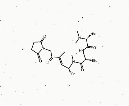 C/C(=C\[C@H](C(C)C)N(C)C(=O)[C@@H](NC(=O)[C@@H](N(C)C)C(C)(C)C)C(C)(C)C)C(=O)CN1C(=O)CCC1=O